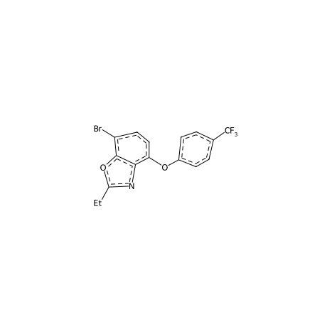 CCc1nc2c(Oc3ccc(C(F)(F)F)cc3)ccc(Br)c2o1